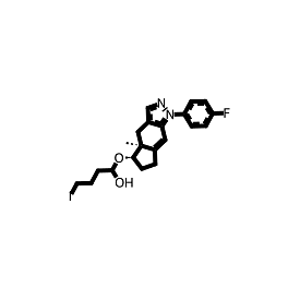 C[C@]12Cc3cnn(-c4ccc(F)cc4)c3C=C1CC[C@@H]2OC(O)CCCI